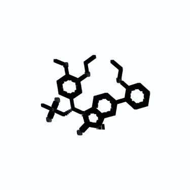 CCOc1cc([C@@H](CS(C)(=O)=O)n2c(=O)[nH]c3cc(-c4ccccc4OCC)ccc32)ccc1OC